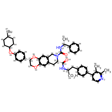 Cc1nccc(-c2ccc(C[C@H](NC(=O)[C@@H]3Cc4cc5c(cc4CN3C(=O)N[C@H](C)c3ccccc3)O[C@@H](c3ccc(OC4CCC(C(C)(C)C)CC4)cc3)CO5)C(=O)O)cc2)c1C